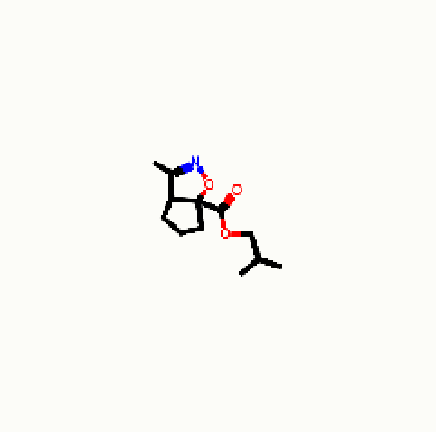 CC1=NOC2(C(=O)OCC(C)C)CCCC12